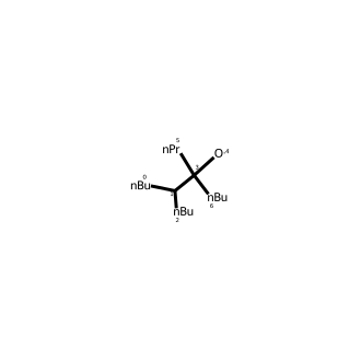 CCCCC(CCCC)C([O])(CCC)CCCC